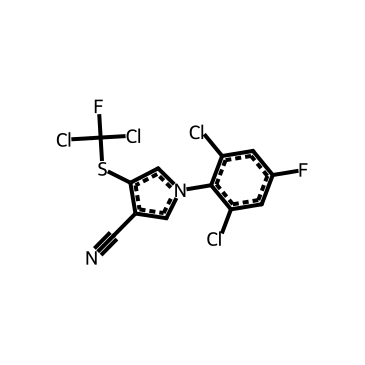 N#Cc1cn(-c2c(Cl)cc(F)cc2Cl)cc1SC(F)(Cl)Cl